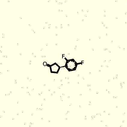 O=C1CC[C@H](c2ccc(F)cc2F)C1